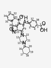 O=C(O)c1ccc([AsH]c2cc(N3CCN(C4CCCCC4)CC3)c3noc4c3c2C(=O)c2ccccc2-4)cc1